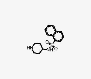 O=S(=O)(NC1CCNCC1)c1cccc2ccccc12